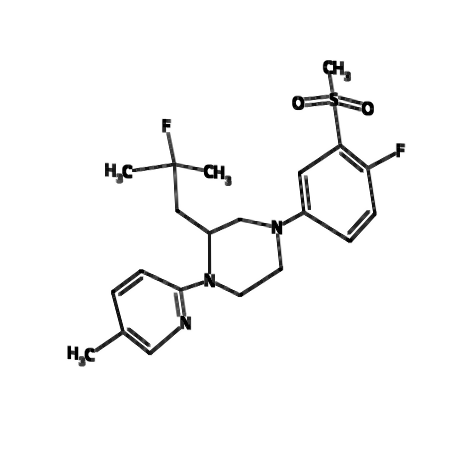 Cc1ccc(N2CCN(c3ccc(F)c(S(C)(=O)=O)c3)CC2CC(C)(C)F)nc1